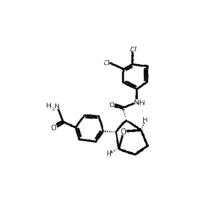 NC(=O)c1ccc([C@@H]2[C@H](C(=O)Nc3ccc(Cl)c(Cl)c3)[C@H]3CC[C@@H]2O3)cc1